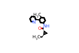 CC[C@@H]1C[C@H]1C(=O)Nc1ccc(C)c(-c2ccccn2)c1